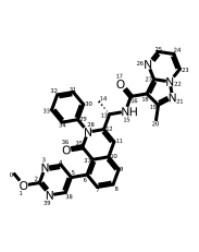 COc1ncc(-c2cccc3cc([C@H](C)NC(=O)c4c(C)nn5cccnc45)n(-c4ccccc4)c(=O)c23)cn1